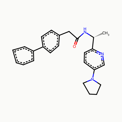 C[C@@H](NC(=O)Cc1ccc(-c2ccccc2)cc1)c1ccc(N2CCCC2)cn1